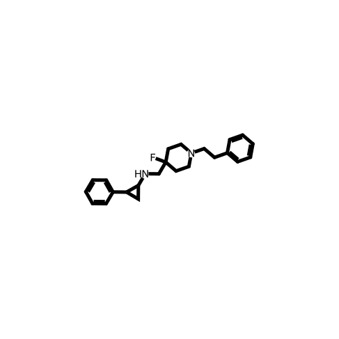 FC1(CNC2CC2c2ccccc2)CCN(CCc2ccccc2)CC1